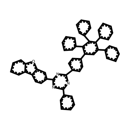 c1ccc(-c2nc(-c3ccc(-c4cc(-c5ccccc5)c(-c5ccccc5)c(-c5ccccc5)c4-c4ccccc4)cc3)nc(-c3ccc4c(c3)oc3ccccc34)n2)cc1